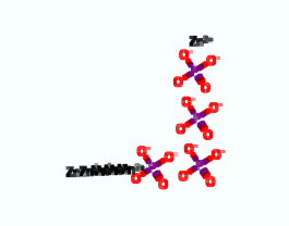 O=P([O-])([O-])[O-].O=P([O-])([O-])[O-].O=P([O-])([O-])[O-].O=P([O-])([O-])[O-].[Mn+2].[Mn+2].[Mn+2].[Zn+2].[Zn+2].[Zn+2]